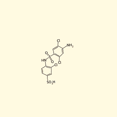 Nc1cc(Cl)c(S(=O)(=O)Nc2ccc(S(=O)(=O)O)cc2Cl)cc1Cl